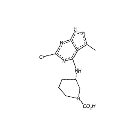 Cc1n[nH]c2nc(Cl)nc(NC3CCCN(C(=O)O)C3)c12